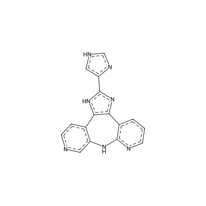 c1cnc2c(c1)-c1nc(-c3c[nH]cn3)[nH]c1-c1ccncc1N2